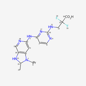 CC(C)N1c2cc(Nc3ccnc(NCC(F)(F)C(=O)O)n3)ncc2NC1C